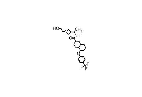 CC(NC(=O)C1CCC2C(CCCC2Oc2ccc(C(F)(F)F)cc2)C1)C1CN(CCO)C1